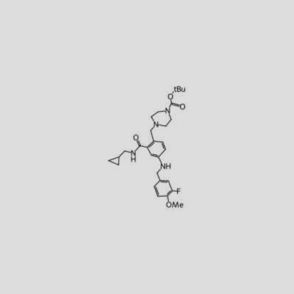 COc1ccc(CNc2ccc(CN3CCN(C(=O)OC(C)(C)C)CC3)c(C(=O)NCC3CC3)c2)cc1F